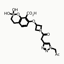 CC(=O)Cn1cc(CC(=O)N2CC(Oc3ccc4c(c3C(=O)O)O[B-](O)(O)CC4)C2)nn1